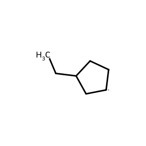 CCC1C[CH]CC1